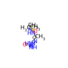 Cc1cc(-c2cc(Nc3n[nH]cc3[C@H]3CCOC3)ncn2)ccc1CNC(=O)c1cnc(C(C)(C)C)s1